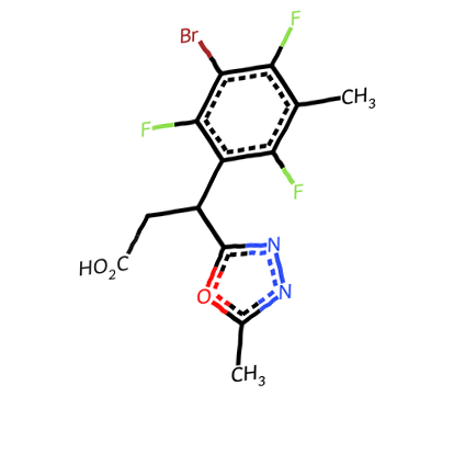 Cc1nnc(C(CC(=O)O)c2c(F)c(C)c(F)c(Br)c2F)o1